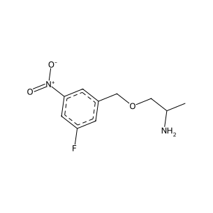 CC(N)COCc1cc(F)cc([N+](=O)[O-])c1